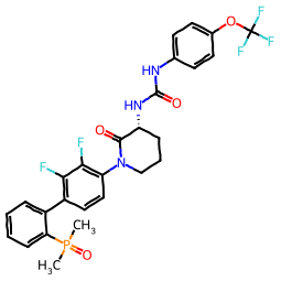 CP(C)(=O)c1ccccc1-c1ccc(N2CCC[C@@H](NC(=O)Nc3ccc(OC(F)(F)F)cc3)C2=O)c(F)c1F